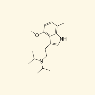 COc1ccc(C)c2[nH]cc(CCN(C(C)C)C(C)C)c12